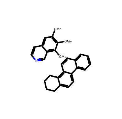 COc1cc2ccncc2c(OC)c1OC.c1ccc2c(c1)ccc1c3c(ccc12)CCCC3